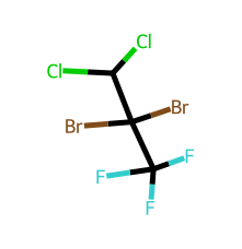 FC(F)(F)C(Br)(Br)C(Cl)Cl